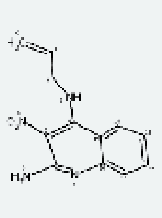 C=CCNc1c([N+](=O)[O-])c(N)nc2ccccc12